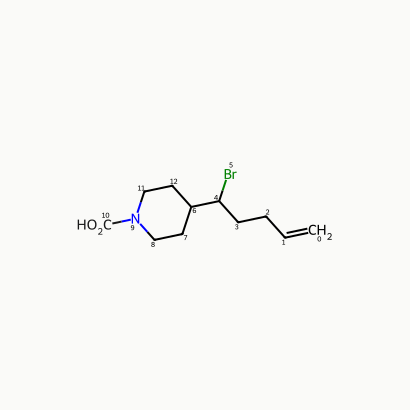 C=CCCC(Br)C1CCN(C(=O)O)CC1